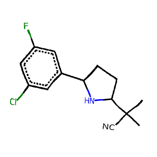 CC(C)(C#N)C1CCC(c2cc(F)cc(Cl)c2)N1